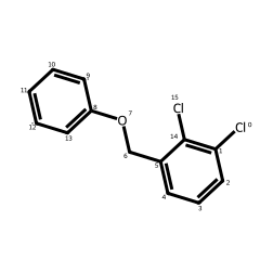 Clc1cccc(COc2[c]cc[c]c2)c1Cl